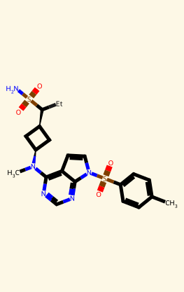 CCC([C@H]1C[C@@H](N(C)c2ncnc3c2ccn3S(=O)(=O)c2ccc(C)cc2)C1)S(N)(=O)=O